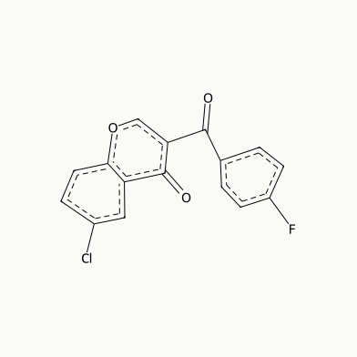 O=C(c1ccc(F)cc1)c1coc2ccc(Cl)cc2c1=O